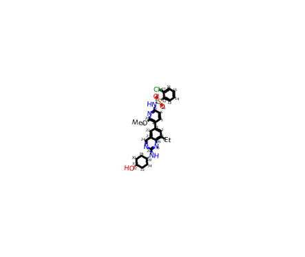 CCc1cc(-c2ccc(NS(=O)(=O)c3ccccc3Cl)nc2OC)cc2cnc(N[C@H]3CC[C@H](O)CC3)nc12